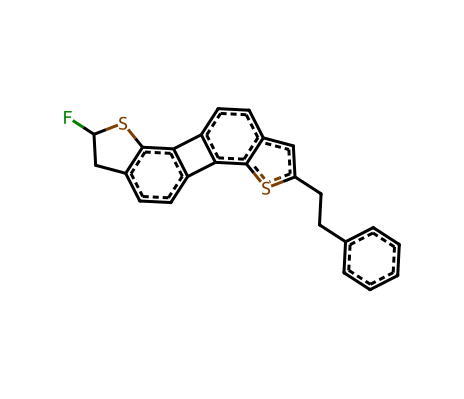 FC1Cc2ccc3c(c2S1)-c1ccc2cc(CCc4ccccc4)sc2c1-3